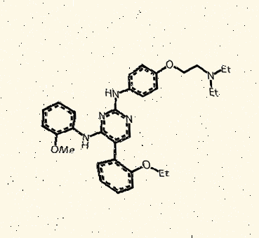 CCOc1ccccc1-c1cnc(Nc2ccc(OCCN(CC)CC)cc2)nc1Nc1ccccc1OC